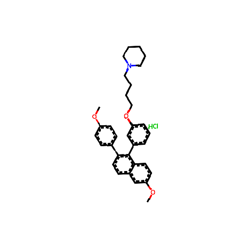 COc1ccc(-c2ccc3cc(OC)ccc3c2-c2cccc(OCCCCN3CCCCC3)c2)cc1.Cl